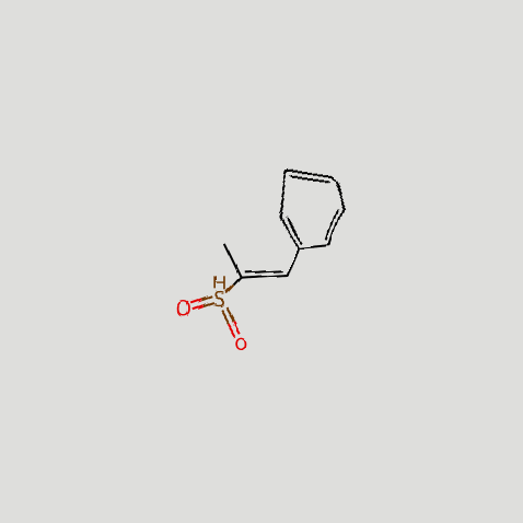 C/C(=C\c1ccccc1)[SH](=O)=O